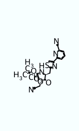 CC(C)(C)OC(=O)N[C@@H](Cc1nc(-c2cccc(C#N)n2)cs1)C(=O)OCC#N